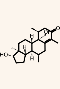 CC1=C2C[C@@H](C)[C@H]3[C@@H]4CC[C@H](O)[C@@]4(C)CC[C@@H]3[C@@]2(CO)[C@@H](C)CC1=O